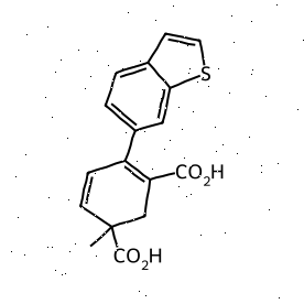 CC1(C(=O)O)C=CC(c2ccc3ccsc3c2)=C(C(=O)O)C1